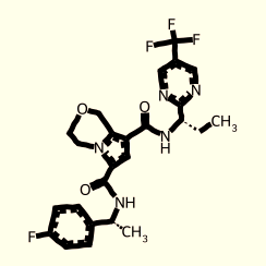 CC[C@H](NC(=O)c1cc(C(=O)N[C@H](C)c2ccc(F)cc2)n2c1COCC2)c1ncc(C(F)(F)F)cn1